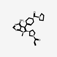 C=CC(=O)N1CC[C@H](c2c(C3=CC[C@@H](C(=O)N4CCCC4)CC3)c3c(N)ncnc3n2C)C1